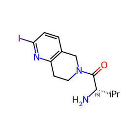 CC(C)[C@H](N)C(=O)N1CCc2nc(I)ccc2C1